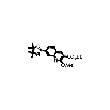 CCOC(=O)c1cc2ccc(B3OC(C)(C)C(C)(C)O3)cc2nc1OC